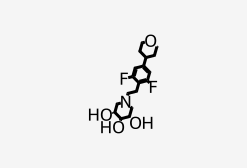 OC1[C@H](O)CN(CCc2c(F)cc(C3CCOCC3)cc2F)C[C@@H]1O